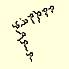 CCC1CCCN1CC.CCCC1CCCN1CCC.CCCCC1CCCN1CCCC.CCCCN1CCCC1C.CCCCN1CCCC1CC.CCCCN1CCCC1CCC.CCCN1CCCC1C.CCCN1CCCC1CC.CCN1CCCC1C